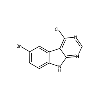 Clc1ncnc2[nH]c3ccc(Br)cc3c12